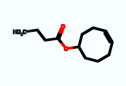 O=C(O)CCC(=O)OC1CCC=CCCC1